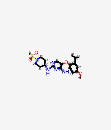 COc1ccc(Oc2cnc(NC3CCN(S(C)(=O)=O)CC3)nc2N)c(C(C)C)c1